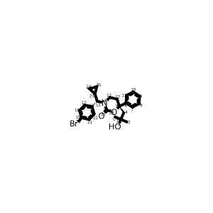 CC(C)(O)C[C@]1(c2ccccc2)CCN([C@H](c2ccc(Br)cc2)C2CC2)C(=O)O1